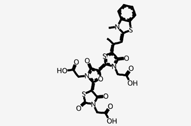 C/C(C=C1Sc2ccccc2N1C)=c1\s/c(=c2/o/c(=C3/SC(=O)N(CC(=O)O)C3=O)n(CC(=O)O)c2=O)n(CC(=O)O)c1=O